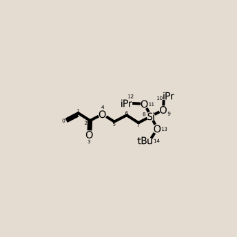 C=CC(=O)OCCC[Si](OC(C)C)(OC(C)C)OC(C)(C)C